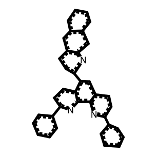 c1ccc(-c2ccc3cc(-c4ccc5cc6ccccc6cc5n4)c4ccc(-c5ccccc5)nc4c3n2)cc1